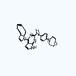 c1ccc2c(c1)ccn2-c1nc(Nc2ccc(N3CCOCC3)cc2)nc2[nH]ccc12